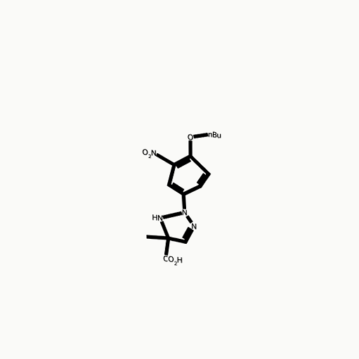 CCCCOc1ccc(N2N=CC(C)(C(=O)O)N2)cc1[N+](=O)[O-]